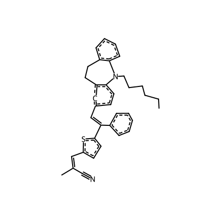 CCCCCCN1c2ccccc2CCc2cc(/C=C(\c3ccccc3)c3ccc(/C=C(/C)C#N)s3)ccc21